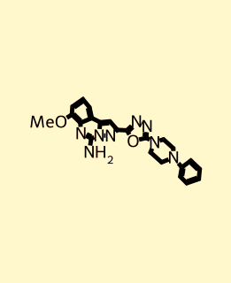 COc1cccc2c1nc(N)n1nc(-c3nnc(N4CCN(c5ccccc5)CC4)o3)cc21